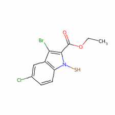 CCOC(=O)c1c(Br)c2cc(Cl)ccc2n1S